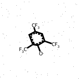 [O]c1c(C(F)(F)F)cc(C(F)(F)F)cc1C(F)(F)F